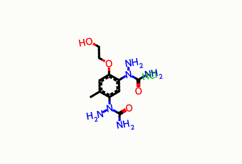 Cc1cc(OCCO)c(N(N)C(N)=O)cc1N(N)C(N)=O.Cl